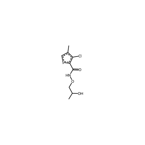 Cc1csc(C(=O)NOCC(C)O)c1Cl